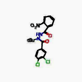 CC(C)(C)N(NC(=O)c1ccccc1[N+](=O)[O-])C(=O)c1ccc(Cl)c(Cl)c1